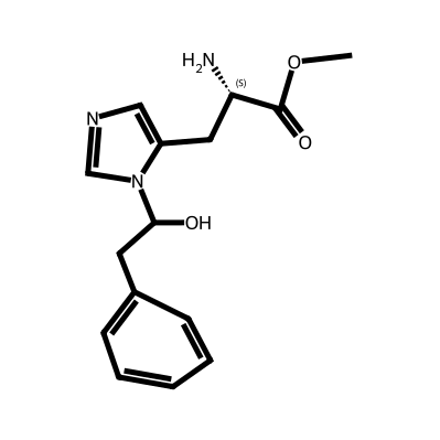 COC(=O)[C@@H](N)Cc1cncn1C(O)Cc1ccccc1